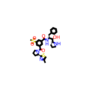 Cc1csc([C@H]2CCCN2C(=O)c2cc(C(=O)N[C@@H](Cc3ccccc3)[C@@H](O)[C@H]3CCCN3)cc(S(C)(=O)=O)c2)n1